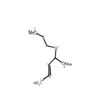 COCCOC(C=CC(=O)O)OC